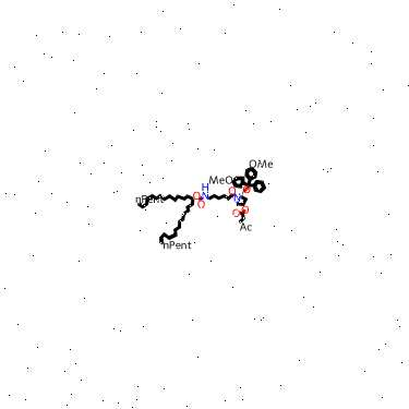 CCCCC/C=C\C/C=C\CCCCCCCCC(CCCCCCCC/C=C\C/C=C\CCCCC)OC(=O)NCCCCCC(=O)N1C[C@H](OC(=O)CCC(C)=O)C[C@H]1COC(c1ccccc1)(c1ccc(OC)cc1)c1ccc(OC)cc1